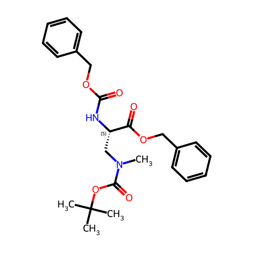 CN(C[C@H](NC(=O)OCc1ccccc1)C(=O)OCc1ccccc1)C(=O)OC(C)(C)C